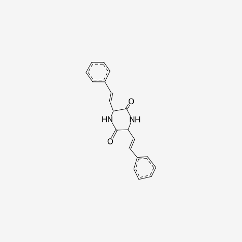 O=C1NC(C=Cc2ccccc2)C(=O)NC1C=Cc1ccccc1